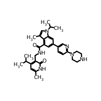 Cc1cc(C(C)C)c(CNC(=O)c2cc(-c3ccc(N4CCNCC4)nc3)cc3c2c(C)cn3C(C)C)c(=O)[nH]1